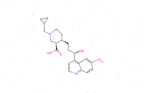 COc1ccc2nccc([C@H](O)CC[C@@H]3CCN(CC4CC4)C[C@@H]3C(=O)O)c2c1